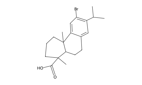 CC(C)c1cc2c(cc1Br)C1(C)CCCC(C)(C(=O)O)C1CC2